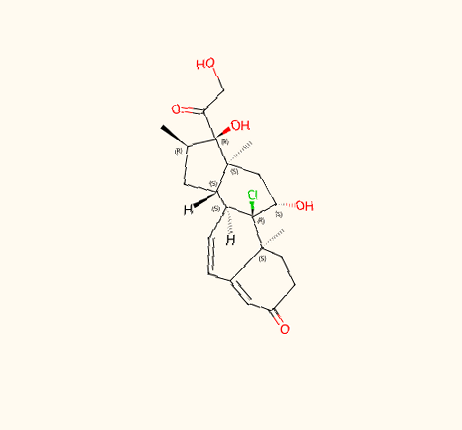 C[C@@H]1C[C@H]2[C@@H]3C=CC4=CC(=O)CC[C@]4(C)[C@@]3(Cl)[C@@H](O)C[C@]2(C)[C@@]1(O)C(=O)CO